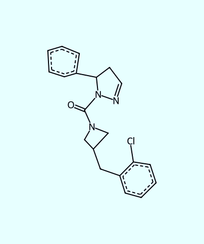 O=C(N1CC(Cc2ccccc2Cl)C1)N1N=CCC1c1ccccc1